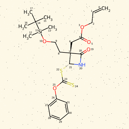 C=CCOC(=O)C[C@@]1(CCO[Si](C)(C)C(C)(C)C)C(=O)N[C@@H]1SC(=S)Oc1ccccc1